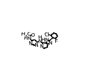 CC(=O)Nc1cc(Nc2nccc3nc(-c4c(F)cccc4Cl)[nH]c23)ncn1